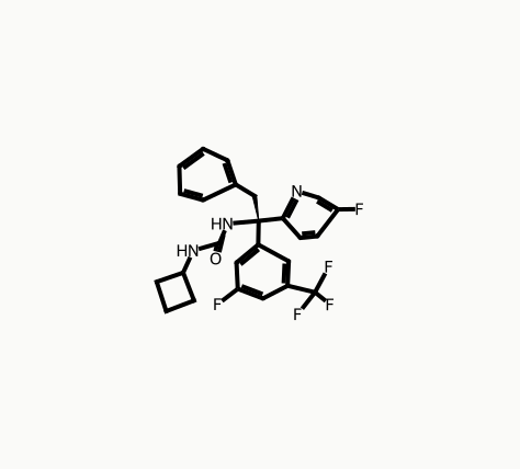 O=C(NC1CCC1)N[C@@](Cc1ccccc1)(c1cc(F)cc(C(F)(F)F)c1)c1ccc(F)cn1